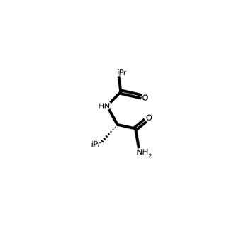 CC(C)C(=O)N[C@H](C(N)=O)C(C)C